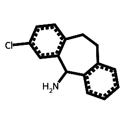 NC1c2ccccc2CCc2ccc(Cl)cc21